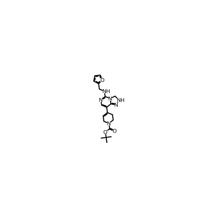 CC(C)(C)OC(=O)N1CC=C(C2=CN=C(NCc3ccco3)N3CNN=C23)CC1